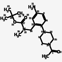 CC(=O)N1CCN(c2ccc(N)cc2CN(C)C(=O)OC(C)(C)C)CC1